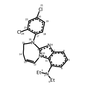 CCN(CC)c1cccc2nc3n(c12)C=CCCN3c1ccc(Cl)cc1Cl